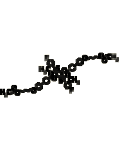 C=CC(=O)OCCCCCOc1ccc(C2CCC(C(=O)Oc3c4cc(-c5ccc(F)cc5C)sc4c(OC(=O)C4CCC(c5ccc(OCCCCCOC(=O)C=C)cc5)CC4)c4cc(-c5ccc(F)cc5C)sc34)CC2)cc1